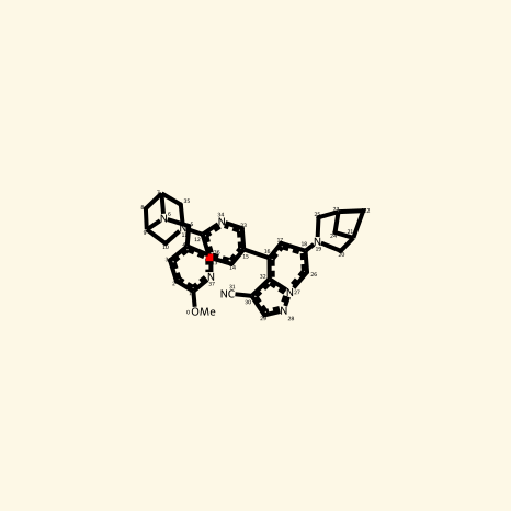 COc1ccc(CN2C3CC2CN(c2ccc(-c4cc(N5CC6CC(C6)C5)cn5ncc(C#N)c45)cn2)C3)cn1